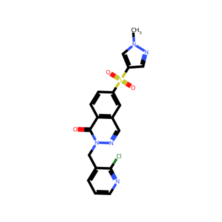 Cn1cc(S(=O)(=O)c2ccc3c(=O)n(Cc4cccnc4Cl)ncc3c2)cn1